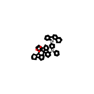 C1=CCC2C(=C1)c1cccc3c1C2(c1ccccc1)c1ccccc1C3(c1ccccc1)c1cccc(N(c2ccccc2)c2ccc(-n3c4ccccc4c4ccc5ccccc5c43)cc2)c1